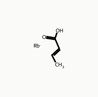 CC=CC(=O)O.[Rb]